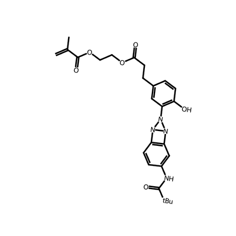 C=C(C)C(=O)OCCOC(=O)CCc1ccc(O)c(-n2n3c4ccc(NC(=O)C(C)(C)C)cc4n23)c1